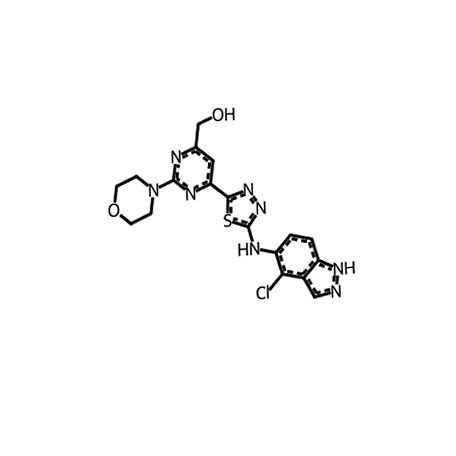 OCc1cc(-c2nnc(Nc3ccc4[nH]ncc4c3Cl)s2)nc(N2CCOCC2)n1